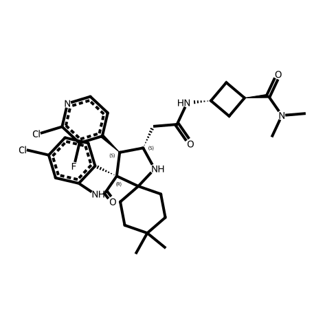 CN(C)C(=O)[C@H]1C[C@H](NC(=O)C[C@@H]2NC3(CCC(C)(C)CC3)[C@@]3(C(=O)Nc4cc(Cl)ccc43)[C@H]2c2ccnc(Cl)c2F)C1